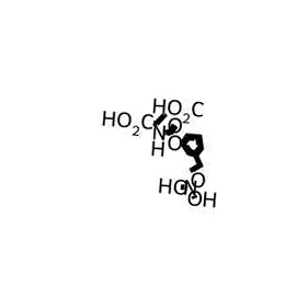 O=C(O)CC(NC(=O)Oc1cccc(CCON(O)O)c1)C(=O)O